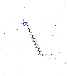 Cc1nc(CCCCCCCCCCCCCCCCCCC(=O)O)cn1C